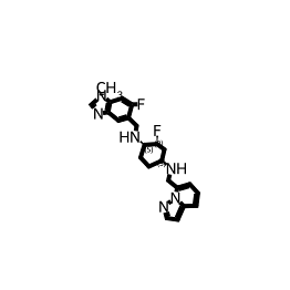 Cn1cnc2cc(CN[C@H]3CC[C@H](NCc4cccc5ccnn45)C[C@H]3F)c(F)cc21